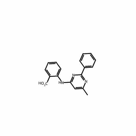 Cc1cc(Nc2ccccc2C(=O)O)nc(-c2ccccc2)n1